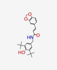 CC(C)(C)c1cc(CNC(=O)C=Cc2ccc3c(c2)OCO3)cc(C(C)(C)C)c1O